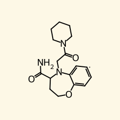 NC(=O)C1CCOc2cc[c]cc2N1CC(=O)N1CCCCC1